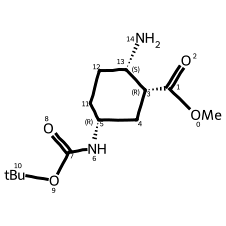 COC(=O)[C@@H]1C[C@H](NC(=O)OC(C)(C)C)CC[C@@H]1N